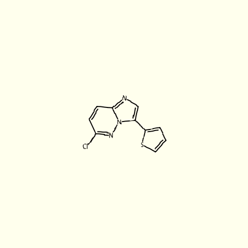 Clc1ccc2ncc(-c3cccs3)n2n1